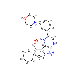 CC1(C(C=O)c2c[nH]c3ncc(-c4cccc(N5CCOCC5)c4)nc23)CCCCC1